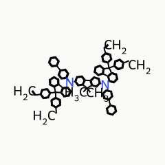 C=Cc1ccc(C2(c3ccc(C=C)cc3)c3ccccc3-c3c(N(c4ccc(-c5ccccc5)cc4)c4ccc5c(c4)C(C)(C)c4cc(N(c6ccc(-c7ccccc7)cc6)c6cccc7c6-c6ccccc6C7(c6ccc(C=C)cc6)c6ccc(C=C)cc6)ccc4-5)cccc32)cc1